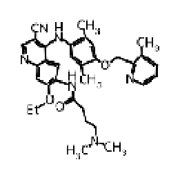 CCOc1cc2ncc(C#N)c(Nc3cc(C)c(OCc4ncccc4C)cc3C)c2cc1NC(=O)CCCN(C)C